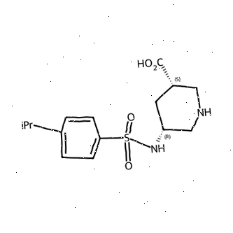 CC(C)c1ccc(S(=O)(=O)N[C@H]2CNC[C@@H](C(=O)O)C2)cc1